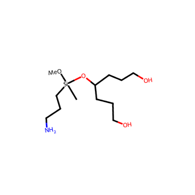 CO[Si](C)(CCCN)OC(CCCO)CCCO